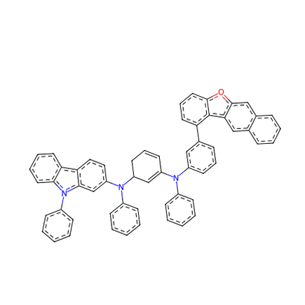 C1=CC(N(c2ccccc2)c2cccc(-c3cccc4oc5cc6ccccc6cc5c34)c2)=CC(N(c2ccccc2)c2ccc3c4ccccc4n(-c4ccccc4)c3c2)C1